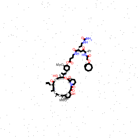 C=CC[C@@H]1/C=C(\C)C[C@H](C)C[C@H](OC)[C@@]2(C)C[C@@](O)(C(=O)C(=O)N3CCCC[C@H]3C(=O)O[C@H](/C(C)=C/[C@@H]3CC[C@@H](OC(=O)CCCNC(=O)[C@H](CCCNC(N)=O)CC(=O)[C@@H](NC(=O)COC4C#CCCCCC4)C(C)C)[C@H](OC)C3)[C@H](C)[C@@H](O)CC1=O)[C@H](C)C[C@@H]2OC